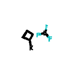 FB(F)F.[K][CH]1CCC1